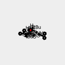 CC(C)(C)OC(=O)NC[C@H](CNC[C@H]1NC(=O)[C@H]1NC(=O)/C(=N\OC1(C(=O)OC(c2ccccc2)c2ccccc2)CC1)c1csc(NC(=O)OC(C)(C)C)n1)NC(=O)OCC1c2ccccc2-c2ccccc21